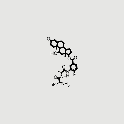 CC(C)[C@H](N)C(=O)N[C@@H](C)C(=O)Nc1cc(C(=O)OC2CCC3C4CCC5=CC(=O)C=CC5(C)C4C(O)CC23C)ccc1F